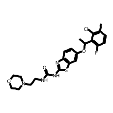 Cc1ccc(F)c(C(C)Oc2ccc3nc(NC(=O)NCCN4CCOCC4)sc3c2)c1Cl